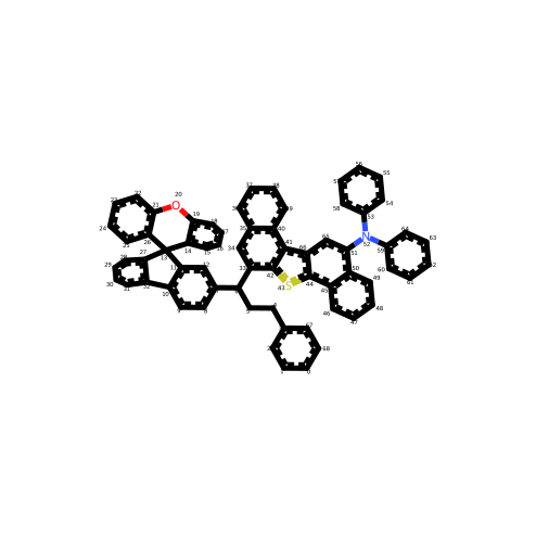 c1ccc(CCC(c2ccc3c(c2)C2(c4ccccc4Oc4ccccc42)c2ccccc2-3)c2cc3ccccc3c3c2sc2c4ccccc4c(N(c4ccccc4)c4ccccc4)cc23)cc1